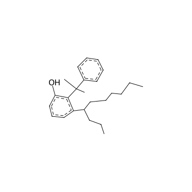 CCCCCCC(CCC)c1cccc(O)c1C(C)(C)c1ccccc1